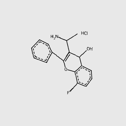 CC(N)C1=C(c2ccccc2)Oc2c(F)cccc2C1O.Cl